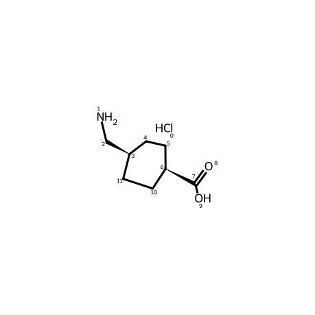 Cl.NC[C@H]1CC[C@@H](C(=O)O)CC1